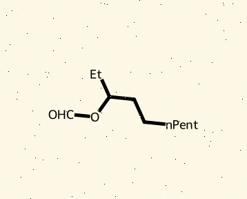 CCCCCCCC(CC)OC=O